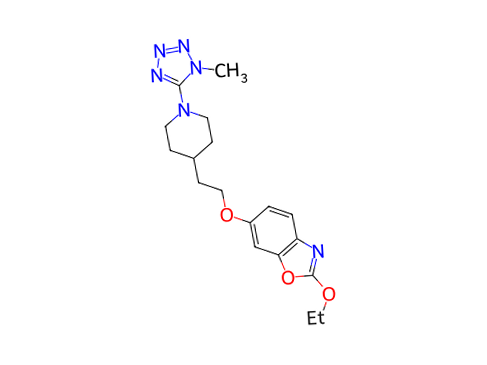 CCOc1nc2ccc(OCCC3CCN(c4nnnn4C)CC3)cc2o1